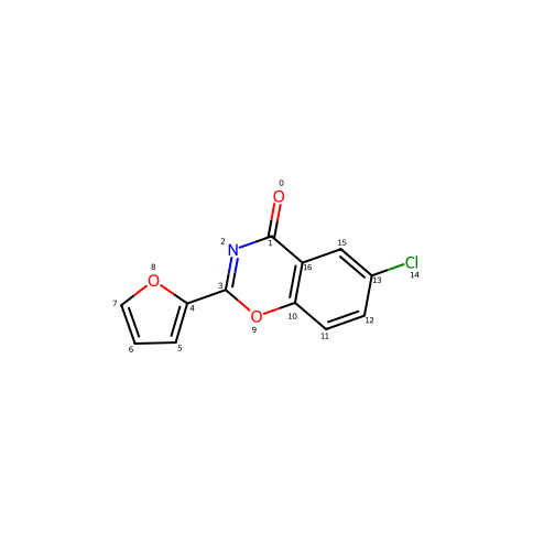 O=c1nc(-c2ccco2)oc2ccc(Cl)cc12